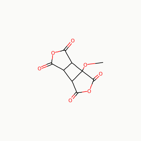 COC12C(=O)OC(=O)C1C1C(=O)OC(=O)C12